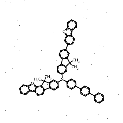 CC1(C)c2cc(-c3ccc4c(c3)oc3ccccc34)ccc2-c2ccc(N(c3ccc(-c4ccc(-c5ccccc5)cc4)cc3)c3ccc4c(c3)C(C)(C)c3c-4ccc4c3oc3ccccc34)cc21